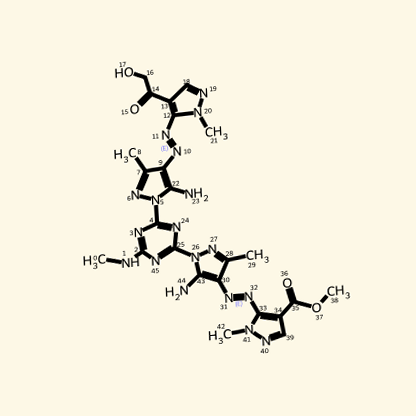 CNc1nc(-n2nc(C)c(/N=N/c3c(C(=O)CO)cnn3C)c2N)nc(-n2nc(C)c(/N=N/c3c(C(=O)OC)cnn3C)c2N)n1